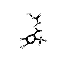 CCS(=O)(=O)c1cc([N+](=O)[O-])c(Cl)cc1C(=O)NNC(=O)OC(C)(C)C